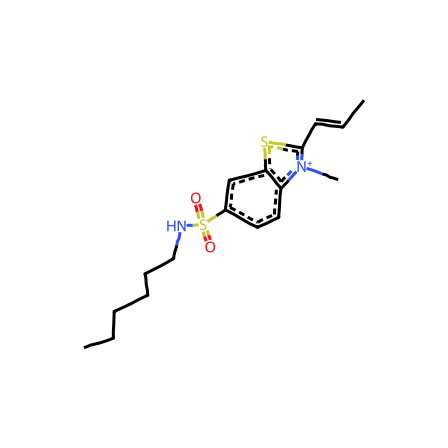 CC=Cc1sc2cc(S(=O)(=O)NCCCCCC)ccc2[n+]1C